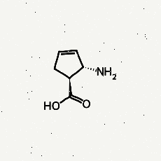 N[C@H]1C=CC[C@@H]1C(=O)O